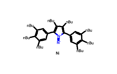 CCCCC1=C(c2cc(CCCC)c(CCCC)c(CCCC)c2)[N+](=[N-])C(c2cc(CCCC)c(CCCC)c(CCCC)c2)=C1CCCC.[Ni]